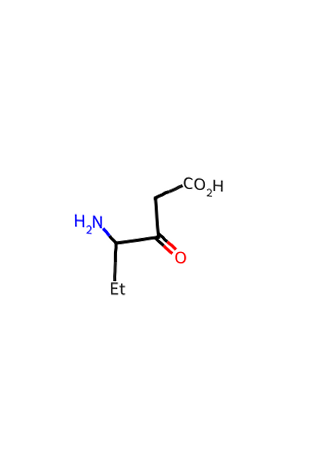 CCC(N)C(=O)CC(=O)O